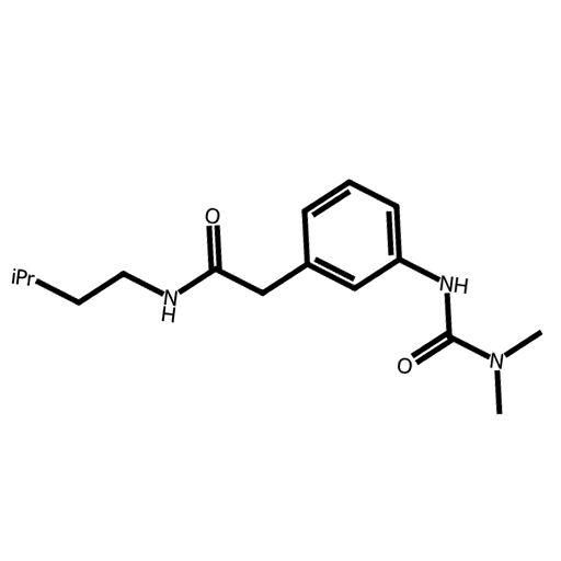 CC(C)CCNC(=O)Cc1cccc(NC(=O)N(C)C)c1